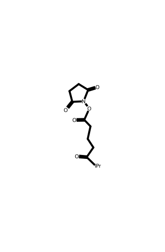 CC(C)C(=O)CCCC(=O)ON1C(=O)CCC1=O